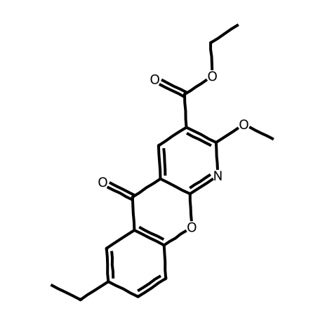 CCOC(=O)c1cc2c(=O)c3cc(CC)ccc3oc2nc1OC